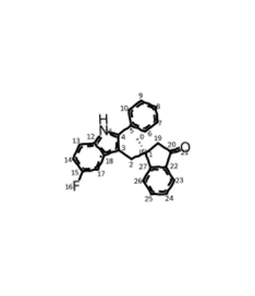 C[C@]1(Cc2c(-c3ccccc3)[nH]c3ccc(F)cc23)CC(=O)c2ccccc21